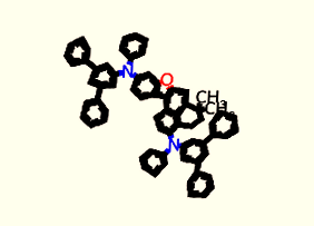 CC1(C)CCc2c(N(c3ccccc3)c3cc(-c4ccccc4)cc(-c4ccccc4)c3)ccc3c2c1cc1oc2cc(N(c4ccccc4)c4cc(-c5ccccc5)cc(-c5ccccc5)c4)ccc2c13